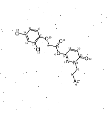 CC(=O)CCn1nc(OC(=O)COc2ccc(Cl)cc2Cl)ccc1=O